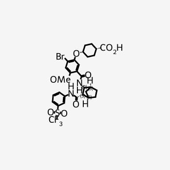 COc1cc(Br)c(O[C@H]2CC[C@@H](C(=O)O)CC2)cc1C(=O)N[C@@H]1[C@H]2CC[C@H](C2)[C@@H]1C(=O)Nc1cccc(S(=O)(=O)C(F)(F)F)c1